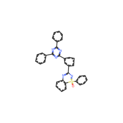 O=S1(c2ccccc2)=NC(c2cccc(-c3nc(-c4ccccc4)nc(-c4ccccc4)n3)c2)=Nc2ccccc21